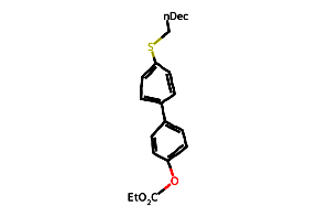 CCCCCCCCCCCSc1ccc(-c2ccc(OC(=O)OCC)cc2)cc1